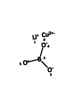 [Cu+2].[Li+].[O-]B([O-])[O-]